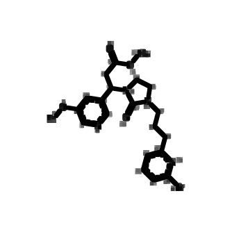 CCOc1cncc(C(CC(=O)OC(C)(C)C)N2CCN(CCCc3cccc(Br)n3)C2=O)c1